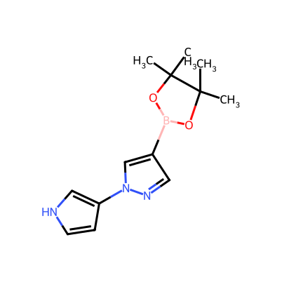 CC1(C)OB(c2cnn(-c3cc[nH]c3)c2)OC1(C)C